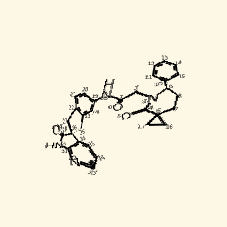 O=C(CN1C(=O)C2(CC[C@@H]1c1ccccc1)CC2)Nc1ccc2c(c1)C[C@@]1(C2)C(=O)Nc2ncccc21